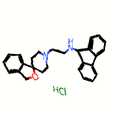 Cl.c1ccc2c(c1)COC21CCN(CCNC2c3ccccc3-c3ccccc32)CC1